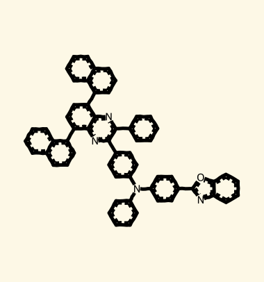 c1ccc(-c2nc3c(-c4cccc5ccccc45)ccc(-c4cccc5ccccc45)c3nc2-c2ccc(N(c3ccccc3)c3ccc(-c4nc5ccccc5o4)cc3)cc2)cc1